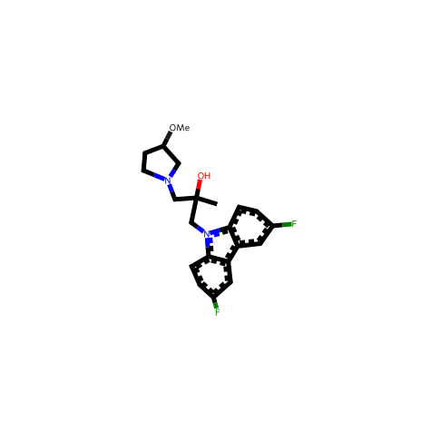 COC1CCN(CC(C)(O)Cn2c3ccc(F)cc3c3cc(F)ccc32)C1